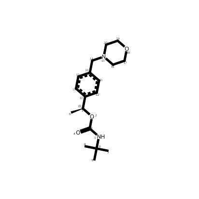 C[C@H](OC(=O)NC(C)(C)C)c1ccc(CN2CCOCC2)cc1